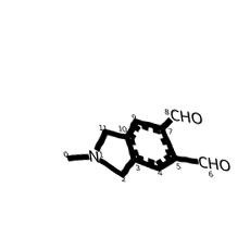 CN1Cc2cc(C=O)c(C=O)cc2C1